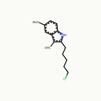 COc1ccc2[nH]c(CCCCCCl)c(C=O)c2c1